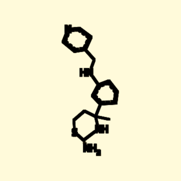 CC1(c2cccc(NCc3ccncc3)c2)CCS[C@@H](N)N1